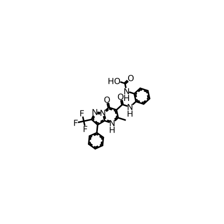 Cc1[nH]c2c(-c3ccccc3)c(C(F)(F)F)nn2c(=O)c1C(=O)Nc1ccccc1NC(=O)O